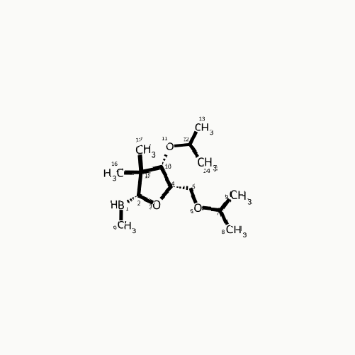 CB[C@H]1O[C@@H](COC(C)C)[C@@H](OC(C)C)C1(C)C